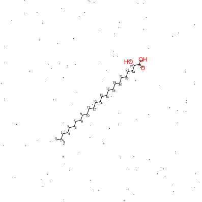 CC(C)CCCCCCCCCCCCCCCCCCCCCCC(O)C(=O)O